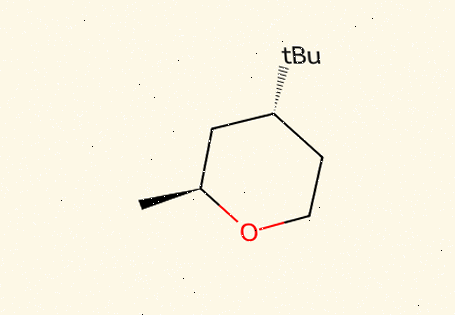 C[C@H]1C[C@H](C(C)(C)C)CCO1